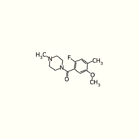 COc1cc(C(=O)N2CCN(C)CC2)c(F)cc1C